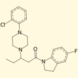 CCC(CC(=O)N1CCc2cc(F)ccc21)N1CCN(c2ccccc2Cl)CC1